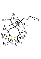 CCCCC(C)(C)C(C)(C)C1(C(C)(C)C(C)C)CC(C)(C)C(C)(C)S(C)(C(C)(C)C)C(C)(C)C(C)(C)C1